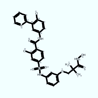 CC(C)(COc1cccc(NS(=O)(=O)c2ccc(C(=O)Nc3ccc(Cl)c(-c4ccccn4)c3)c(Cl)c2)c1)C(=O)NO